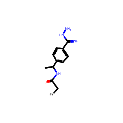 CC(C)CC(=O)NC(C)c1ccc(C(=N)NN)cc1